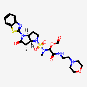 C[C@@H]1C(=O)N(c2nc3ccccc3s2)[C@H]2CCN(S(=O)(=O)N(C)C(OC=O)C(=O)NCCN3CCOCC3)[C@H]12